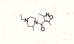 CCN1CCN(C(=O)c2c(C)noc2C)C(C)C1